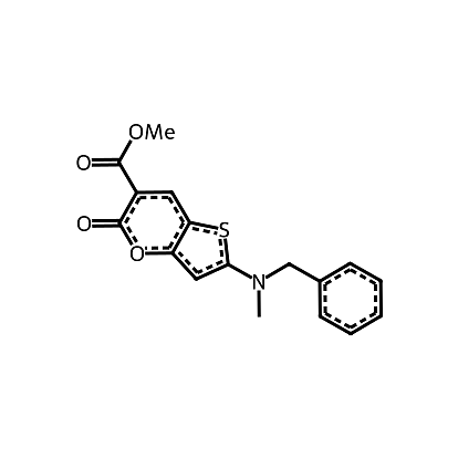 COC(=O)c1cc2sc(N(C)Cc3ccccc3)cc2oc1=O